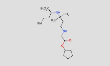 CCOC(=O)[C@H](CCC(C)(C)C)NC(C)(C)CCNCC(=O)OC1CCCC1